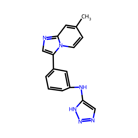 Cc1ccn2c(-c3cccc(Nc4cnn[nH]4)c3)cnc2c1